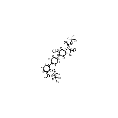 COc1cccc(-c2ccc(-c3cc4c(cc3Cl)N(C(=O)OC(C)(C)C)C(=O)C4)cc2)c1O[Si](C)(C)C(C)(C)C